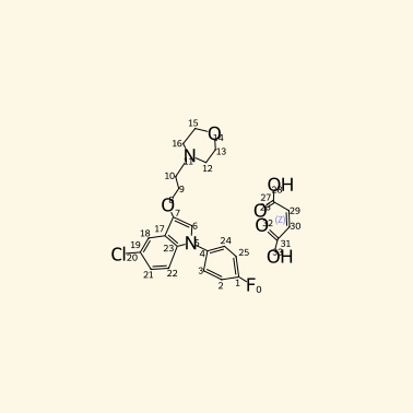 Fc1ccc(-n2cc(OCCN3CCOCC3)c3cc(Cl)ccc32)cc1.O=C(O)/C=C\C(=O)O